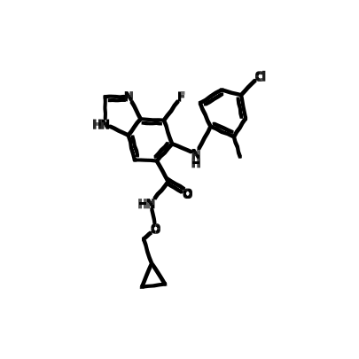 Cc1cc(Cl)ccc1Nc1c(C(=O)NOCC2CC2)cc2[nH]cnc2c1F